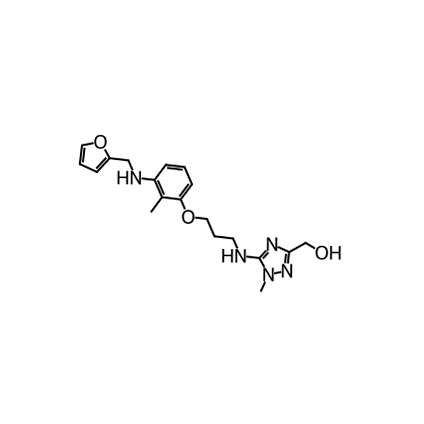 Cc1c(NCc2ccco2)cccc1OCCCNc1nc(CO)nn1C